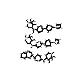 CC1C(N(C)c2ccc(-c3ccc(-n4cccc4)nc3)nn2)CCN(C)C1(C)C.CC1C(N(C)c2ccc(-c3ccc(-n4cccn4)nc3)nn2)CCN(C)C1(C)C.CC1C(N(C)c2ccc(-c3cnc4ccccc4n3)nn2)CCN(C)C1(C)C